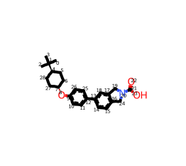 CC(C)(C)[C@H]1CC[C@H](Oc2ccc(-c3ccc4c(c3)CN(C(=O)O)C4)cc2)CC1